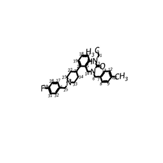 CCNC(=O)N(Cc1ccc(C)cc1)Cc1ccccc1C1CCN(Cc2ccc(F)cc2)CC1